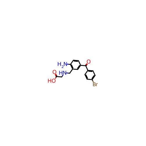 Nc1ccc(C(=O)c2ccc(Br)cc2)cc1CNCC(=O)O